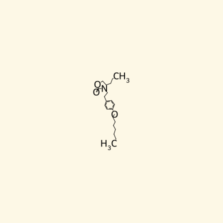 CCCCCCCOc1ccc(CCN2C(=O)OCC2CCC)cc1